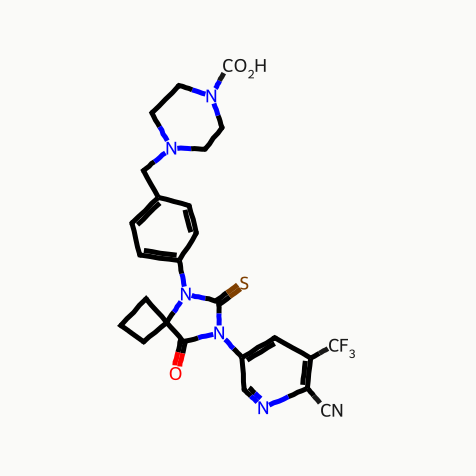 N#Cc1ncc(N2C(=O)C3(CCC3)N(c3ccc(CN4CCN(C(=O)O)CC4)cc3)C2=S)cc1C(F)(F)F